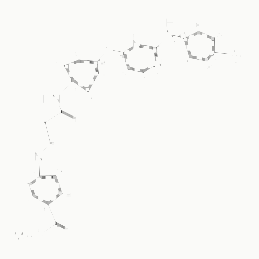 COC(=O)c1ccc(NCCC(=O)Nc2ccc(Sc3ccnc(Nc4ccc(C(C)=O)cc4)n3)cc2)cc1